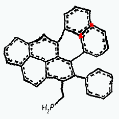 PCc1c(-c2ccccc2)c(-c2ccccc2)c2c(-c3ccccc3)cc3cccc4ccc1c2c43